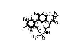 CS(=O)(=O)NC(=O)CN1C(=O)C(F)(F)Oc2cc(F)c(-c3c(F)c(F)c(F)c(F)c3F)cc21